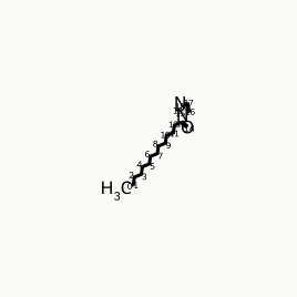 CCCCCCCCCCCCCC(=O)n1ccnc1